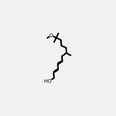 COC(C)(C)CCCC(C)CC=CC=CCO